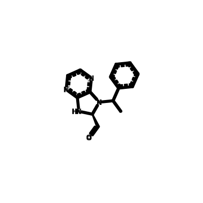 CC(c1ccccc1)N1c2nccnc2N[C@@H]1C=O